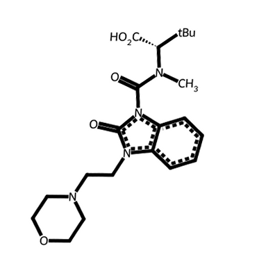 CN(C(=O)n1c(=O)n(CCN2CCOCC2)c2ccccc21)[C@H](C(=O)O)C(C)(C)C